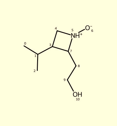 CC(C)C1C[NH+]([O-])C1CCO